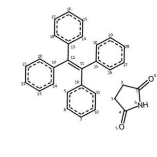 O=C1CCC(=O)N1.c1ccc(C(=C(c2ccccc2)c2ccccc2)c2ccccc2)cc1